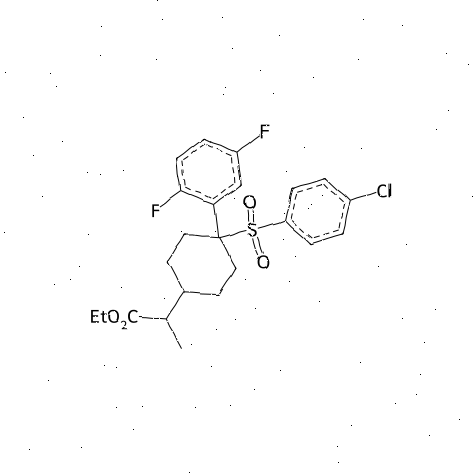 CCOC(=O)C(C)C1CCC(c2cc(F)ccc2F)(S(=O)(=O)c2ccc(Cl)cc2)CC1